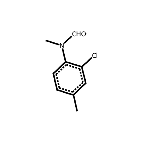 Cc1ccc(N(C)[C]=O)c(Cl)c1